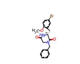 COc1ccc(Br)cc1C[C@H]1NC(=O)CN(Cc2ccccc2)C1=O